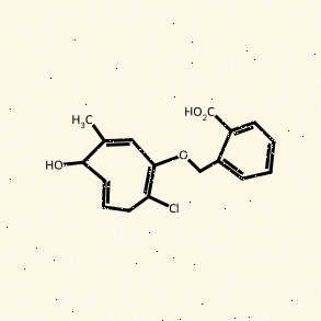 C/C1=C/C(OCc2ccccc2C(=O)O)=C(/Cl)C/C=C/C1O